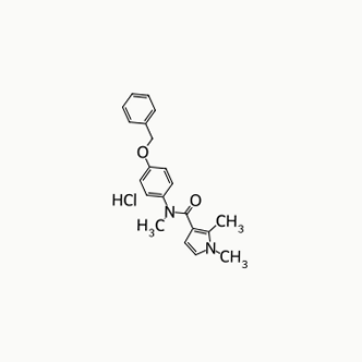 Cc1c(C(=O)N(C)c2ccc(OCc3ccccc3)cc2)ccn1C.Cl